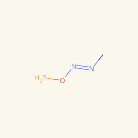 CN=NOP